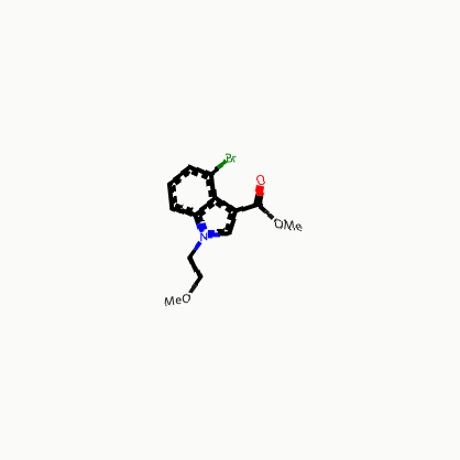 COCCn1cc(C(=O)OC)c2c(Br)cccc21